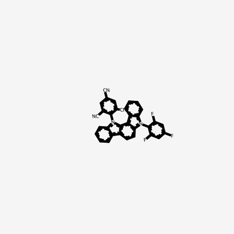 N#Cc1cc(C#N)c(-n2c3ccccc3c3ccc4c(c5ccccc5n4-c4c(F)cc(F)cc4F)c32)c(C#N)c1